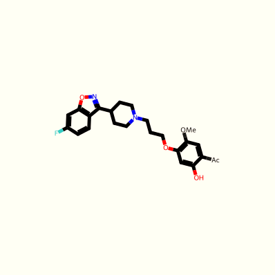 COc1cc(C(C)=O)c(O)cc1OCCCN1CCC(c2noc3cc(F)ccc23)CC1